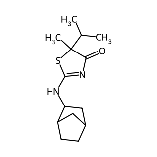 CC(C)C1(C)SC(NC2CC3CCC2C3)=NC1=O